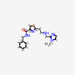 Cn1ccnc1CNCCc1nc(C(=O)NCc2ccccc2)cs1